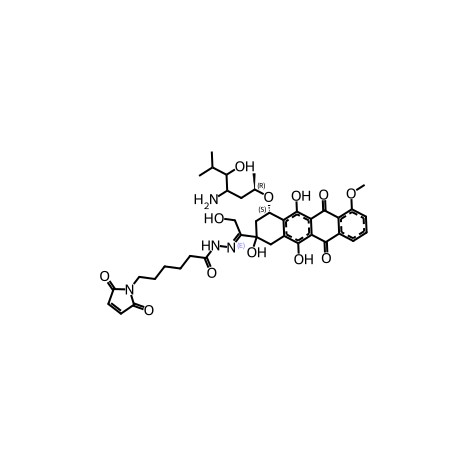 COc1cccc2c1C(=O)c1c(O)c3c(c(O)c1C2=O)CC(O)(/C(CO)=N/NC(=O)CCCCCN1C(=O)C=CC1=O)C[C@@H]3O[C@H](C)CC(N)C(O)C(C)C